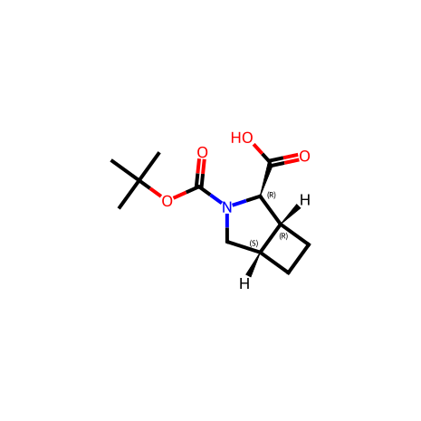 CC(C)(C)OC(=O)N1C[C@H]2CC[C@H]2[C@@H]1C(=O)O